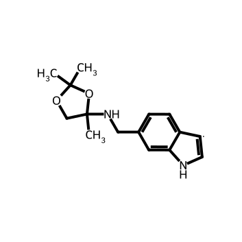 CC1(NCc2ccc3[c]c[nH]c3c2)COC(C)(C)O1